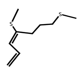 C=C/C=C(\CCCSC)SC